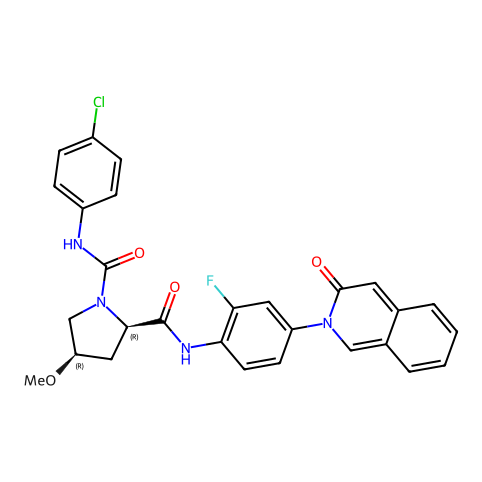 CO[C@@H]1C[C@H](C(=O)Nc2ccc(-n3cc4ccccc4cc3=O)cc2F)N(C(=O)Nc2ccc(Cl)cc2)C1